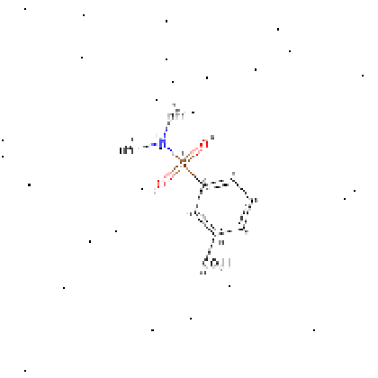 CCCN(CCC)S(=O)(=O)c1cccc(C(=O)O)c1